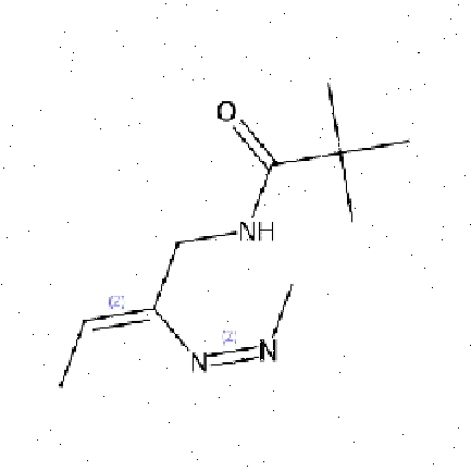 C/C=C(CNC(=O)C(C)(C)C)\N=N/C